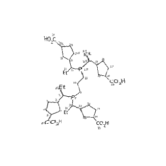 CCC(C1CCC(C(=O)O)C1)P(CCCP(C(CC)C1CCC(C(=O)O)C1)C(CC)C1CCC(C(=O)O)C1)C(CC)C1CCC(C(=O)O)C1